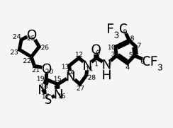 O=C(Nc1cc(C(F)(F)F)cc(C(F)(F)F)c1)N1CCN(c2nsnc2OCC2CCOC2)CC1